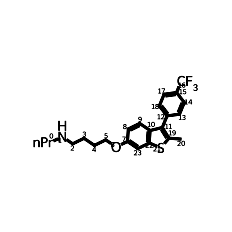 CCCNCCCCOc1ccc2c(-c3ccc(C(F)(F)F)cc3)c(C)sc2c1